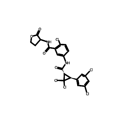 O=C(NC1CCOC1=O)c1cc(NC(=O)[C@@H]2[C@@H](c3cc(Cl)cc(Cl)c3)C2(Cl)Cl)ccc1Cl